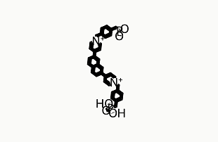 O=P(=O)Cc1ccc(C[n+]2ccc(-c3ccc4ccc(-c5cc[n+](Cc6ccc(CP(=O)(O)O)cc6)cc5)cc4c3)cc2)cc1